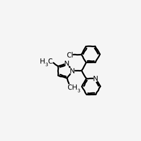 Cc1cc(C)n(C(c2ccccn2)c2ccccc2Cl)n1